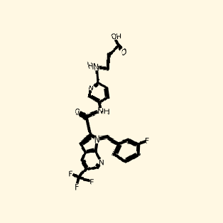 O=C(O)CCNc1ccc(NC(=O)c2cc3cc(C(F)(F)F)cnc3n2Cc2cccc(F)c2)cn1